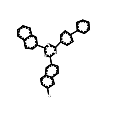 Clc1ccc2cc(-c3nc(-c4ccc(-c5ccccc5)cc4)nc(-c4ccc5ccccc5c4)n3)ccc2c1